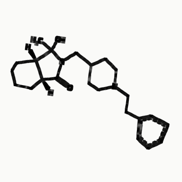 CC1(O)[C@H]2CCCC[C@H]2C(=O)N1CC1CCN(CCc2ccccc2)CC1